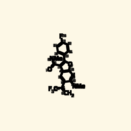 C=C(c1cc2c(C(=O)NC)c(-c3ccc(F)cc3)oc2nc1NC)C(F)(F)F